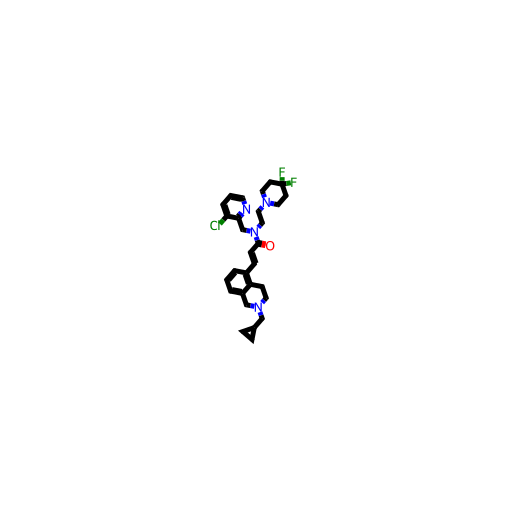 O=C(C=Cc1cccc2c1CCN(CC1CC1)C2)N(CCN1CCC(F)(F)CC1)Cc1ncccc1Cl